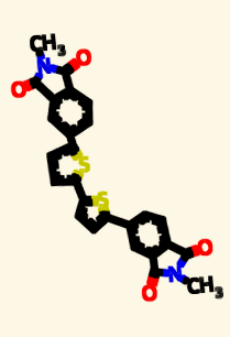 CN1C(=O)c2ccc(-c3ccc(-c4ccc(-c5ccc6c(c5)C(=O)N(C)C6=O)s4)s3)cc2C1=O